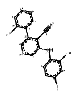 N#Cc1c(Nc2ccc(I)cc2F)cncc1-c1ccccc1F